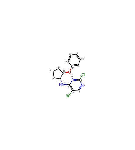 Clc1ncc(Br)c(N[C@@H]2CCC[C@H]2Oc2ccccc2)n1